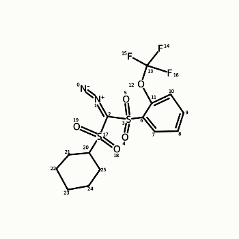 [N-]=[N+]=C(S(=O)(=O)c1ccccc1OC(F)(F)F)S(=O)(=O)C1CCCCC1